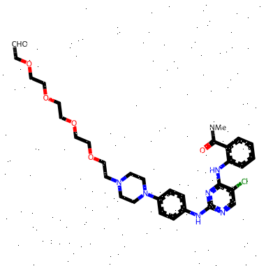 CNC(=O)c1ccccc1Nc1nc(Nc2ccc(N3CCN(CCOCCOCCOCCOCC=O)CC3)cc2)ncc1Cl